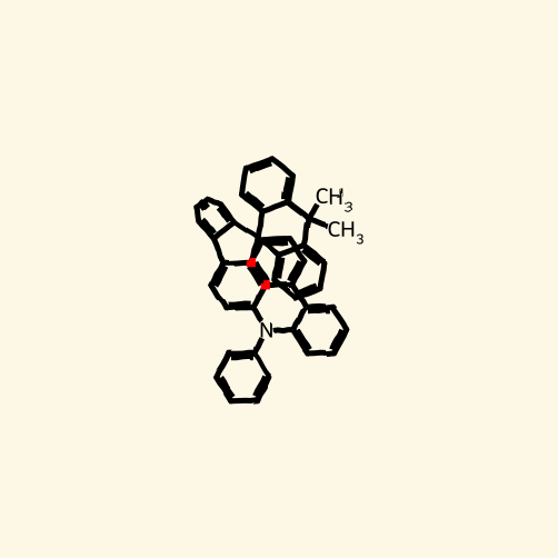 CC1(C)c2ccccc2C2(c3ccccc3-c3ccc(N(c4ccccc4)c4ccccc4-c4ccccc4)cc32)c2ccccc21